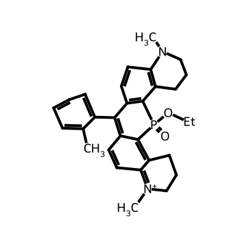 CCOP1(=O)c2c(ccc3c2CCCN3C)C(c2ccccc2C)=c2ccc3c(c21)CCC[N+]=3C